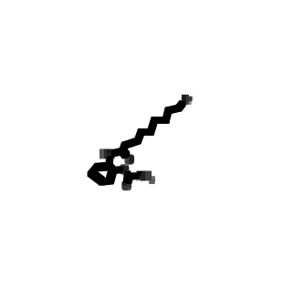 NC(=O)Oc1ccccc1NC(=O)CCCCCCCCBr